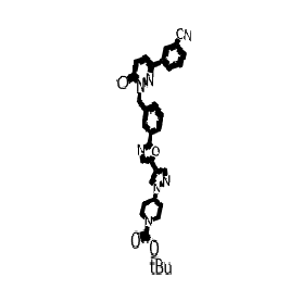 CC(C)(C)OC(=O)N1CCC(n2cc(-c3cnc(-c4cccc(Cn5nc(-c6cccc(C#N)c6)ccc5=O)c4)o3)cn2)CC1